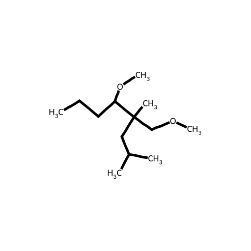 CCCC(OC)C(C)(COC)CC(C)C